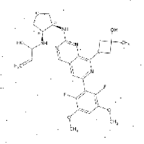 C=CC(O)N[C@H]1COC[C@H]1Nc1ncc2cc(-c3c(F)c(OC)cc(OC)c3F)nc(N3CC(C)(O)C3)c2n1